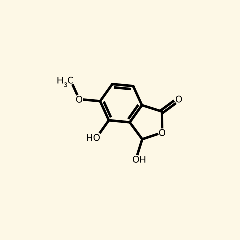 COc1ccc2c(c1O)C(O)OC2=O